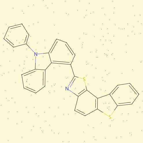 c1ccc(-n2c3ccccc3c3c(-c4nc5ccc6sc7ccccc7c6c5s4)cccc32)cc1